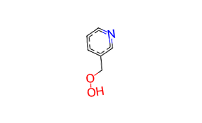 OOCc1cccnc1